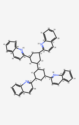 c1ccc2nc(C3CC(c4ccc5ccccc5n4)CC(C4CC(c5ccc6ccccc6n5)CC(c5ccc6ccccc6n5)C4)C3)ccc2c1